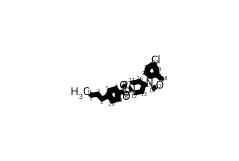 CCCCc1ccc(S(=O)(=O)N2CCC(N3COCc4cc(Cl)ccc43)CC2)cc1